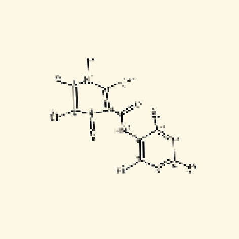 CCCc1c(C(=O)Nc2c(CC)cc(C(C)C)cc2CC)c(=O)c(CC)c(C)n1C